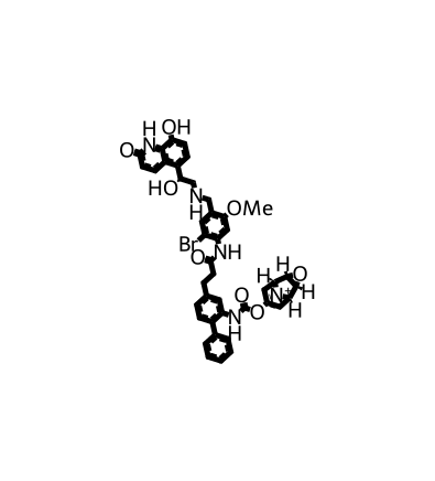 COc1cc(NC(=O)CCc2ccc(-c3ccccc3)c(NC(=O)OC3C[C@@H]4[C@H]5O[C@H]5[C@H](C3)[N+]4(C)C)c2)c(Br)cc1CNC[C@H](O)c1ccc(O)c2[nH]c(=O)ccc12